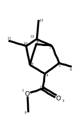 COC(=O)C1C(C)C2CC1C(C)C2C